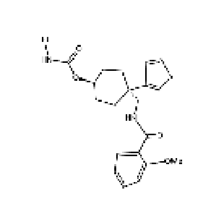 CCNC(=O)O[C@H]1CC[C@@](CNC(=O)c2ccccc2OC)(c2ccsc2)CC1